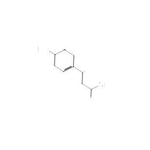 CC(N)CCC1=CCC(O)CC1